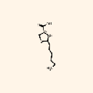 CCCCCCC1N[C@H](C(=O)O)CS1